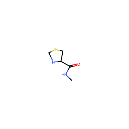 CNC(=O)C1CSC[N]1